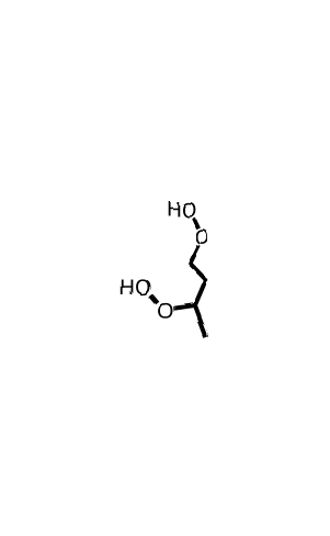 CC(CCOO)OO